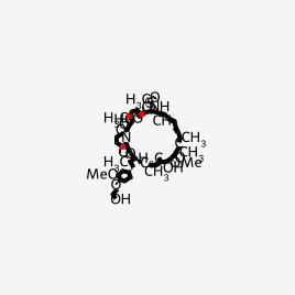 CO[C@@H]1C[C@H](C[C@@H](C)[C@@H]2CC[C@H](C)/C=C(\C)[C@@H](O)[C@@H](OC)C(=O)[C@H](C)C[C@H](C)/C=C/C=C/C=C(\C)[C@H](NS(C)(=O)=O)C[C@@H]3CC[C@@H](C)[C@@](O)(O3)C(=O)C(=O)N3CCCC[C@H]3C(=O)O2)CC[C@H]1OCCO